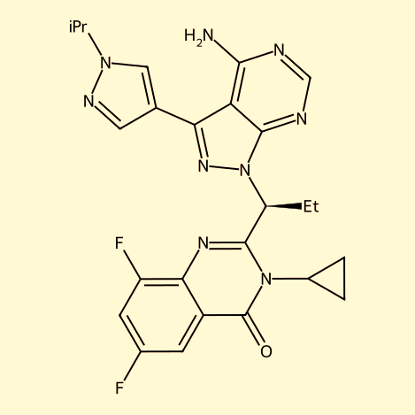 CC[C@@H](c1nc2c(F)cc(F)cc2c(=O)n1C1CC1)n1nc(-c2cnn(C(C)C)c2)c2c(N)ncnc21